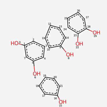 Oc1cccc(O)c1.Oc1ccccc1.Oc1ccccc1.Oc1ccccc1O